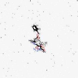 CC(C)CC(N)C(O)(C(=O)CNC(C)(C)CC(=O)OCc1ccccc1)S(=O)(=O)O.[NaH]